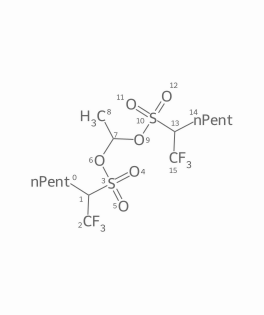 CCCCCC(C(F)(F)F)S(=O)(=O)OC(C)OS(=O)(=O)C(CCCCC)C(F)(F)F